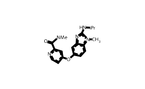 CNC(=O)c1cc(Oc2ccc3c(c2)nc(NC(C)C)n3C)ccn1